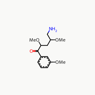 COc1cccc(C(=O)C(CC(CN)OC)OC)c1